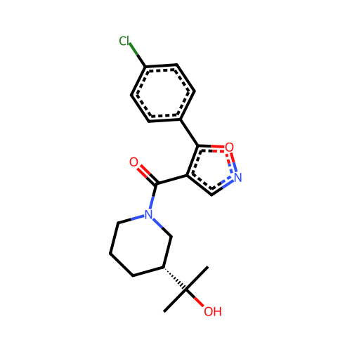 CC(C)(O)[C@@H]1CCCN(C(=O)c2cnoc2-c2ccc(Cl)cc2)C1